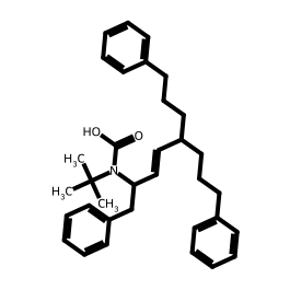 CC(C)(C)N(C(=O)O)C(C=CC(CCCc1ccccc1)CCCc1ccccc1)Cc1ccccc1